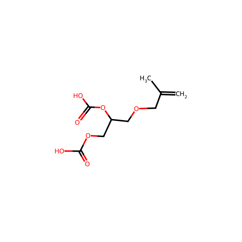 C=C(C)COCC(COC(=O)O)OC(=O)O